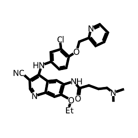 CCOc1cc2ncc(C#N)c(Nc3ccc(OCc4ccccn4)c(Cl)c3)c2cc1NC(=O)CCCN(C)C